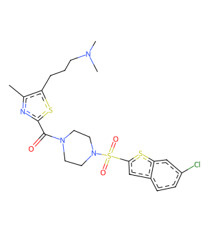 Cc1nc(C(=O)N2CCN(S(=O)(=O)c3cc4ccc(Cl)cc4s3)CC2)sc1CCCN(C)C